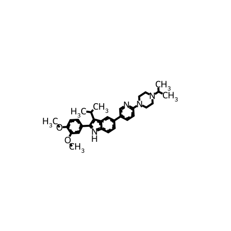 COc1ccc(-c2[nH]c3ccc(-c4ccc(N5CCN(C(C)C)CC5)nc4)cc3c2C(C)C)cc1OC